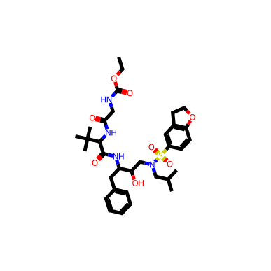 CCOC(=O)NCC(=O)NC(C(=O)NC(Cc1ccccc1)C(O)CN(CC(C)C)S(=O)(=O)c1ccc2c(c1)CCO2)C(C)(C)C